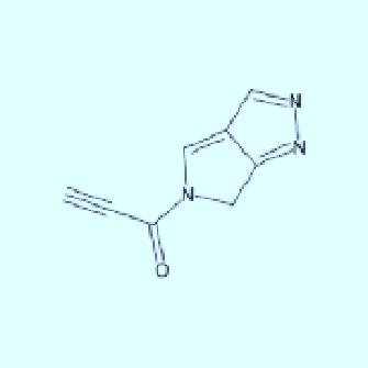 C#CC(=O)N1C=C2C=NN=C2C1